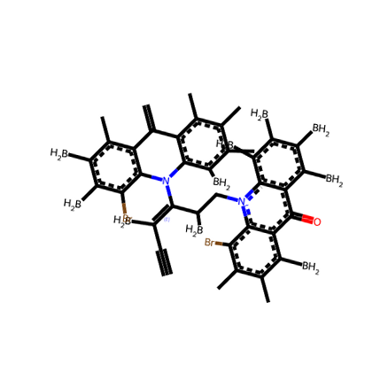 B/C(C#C)=C(/C(B)Cn1c2c(B)c(B)c(B)c(B)c2c(=O)c2c(B)c(C)c(C)c(Br)c21)N1c2c(B)c(C)c(C)c(C)c2C(=C)c2c(C)c(B)c(B)c(Br)c21